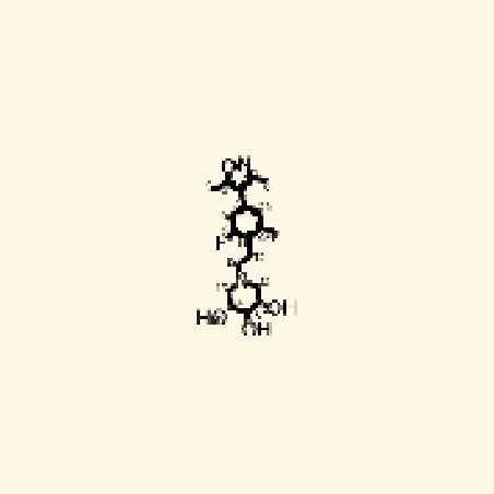 Cc1noc(C)c1-c1cc(F)c(CCN2C[C@@H](O)C(O)[C@@H](O)C2)c(F)c1